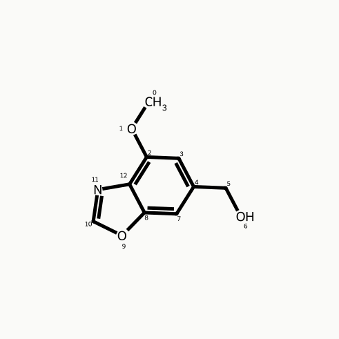 COc1cc(CO)cc2ocnc12